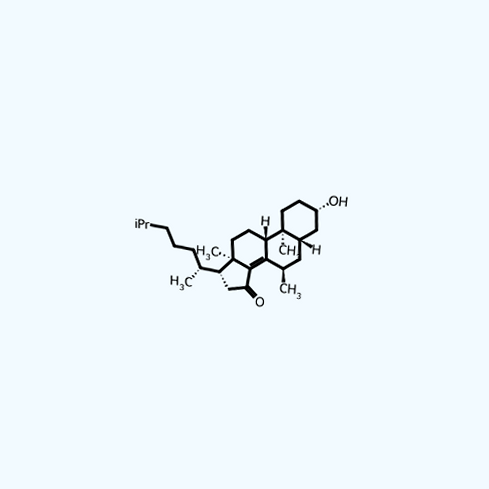 CC(C)CCC[C@@H](C)[C@H]1CC(=O)C2=C3[C@H](C)C[C@H]4C[C@@H](O)CC[C@]4(C)[C@H]3CC[C@@]21C